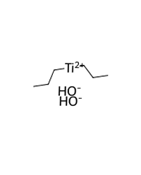 CC[CH2][Ti+2][CH2]CC.[OH-].[OH-]